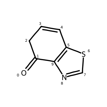 O=C1CC=Cc2scnc21